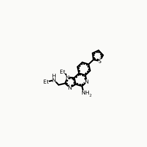 CCNCc1nc2c(N)nc3cc(-c4cccs4)ccc3c2n1CC